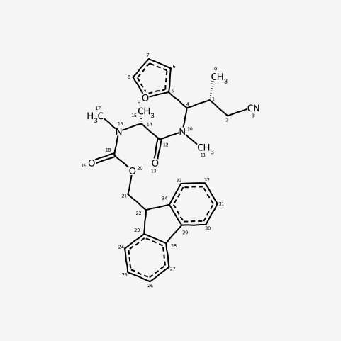 C[C@H](CC#N)C(c1ccco1)N(C)C(=O)[C@@H](C)N(C)C(=O)OCC1c2ccccc2-c2ccccc21